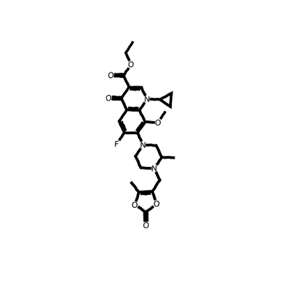 CCOC(=O)c1cn(C2CC2)c2c(OC)c(N3CCN(Cc4oc(=O)oc4C)C(C)C3)c(F)cc2c1=O